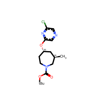 C[C@@H]1C[C@@H](Oc2cncc(Cl)n2)CCN(C(=O)OC(C)(C)C)C1